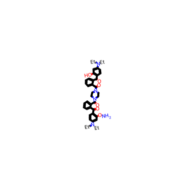 CCN(CC)c1ccc(C(=O)c2ccccc2C(=O)N2CCN(C(=O)c3ccccc3C(=O)c3ccc(N(CC)CC)cc3ON)CC2)c(O)c1